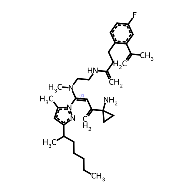 C=C(CCc1ccc(F)cc1C(=C)C)NCCN(C)/C(=C/C(=C)C1(N)CC1)n1nc(C(C)CCCCC)cc1C